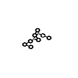 C1=CC(c2ccccc2)CC=C1n1c2ccccc2c2ccc3c(c4ccccc4n3-c3ccc(-c4ccccc4-c4ccccc4)cc3)c21